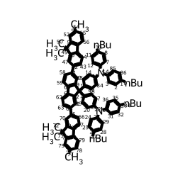 CCCCc1ccc(N(c2ccc(CCCC)cc2)c2ccc(C3(c4ccc(N(c5ccc(CCCC)cc5)c5ccc(CCCC)cc5)cc4)c4cc(-c5ccc6c(c5)C(C)(C)c5cc(C)ccc5-6)ccc4-c4ccc(-c5ccc6c(c5)C(C)(C)c5cc(C)ccc5-6)cc43)cc2)cc1